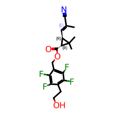 C/C(C#N)=C\[C@@H]1[C@@H](C(=O)OCc2c(F)c(F)c(CCO)c(F)c2F)C1(C)C